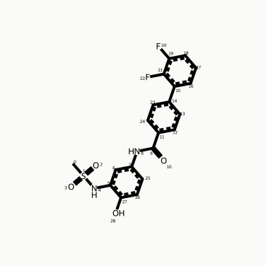 CS(=O)(=O)Nc1cc(NC(=O)c2ccc(-c3cccc(F)c3F)cc2)ccc1O